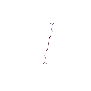 CC(C)NCCOCCOCCOCCOCCOC(C)C